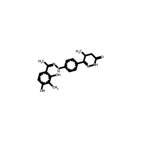 C/C(=N/Nc1ccc(C2=NNC(=O)CC2C)cc1)c1ccc(O)c(C)c1O